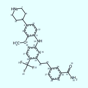 COc1cc(C2CCNCC2)ccc1Nc1ncc(C(F)(F)F)c(CCc2cccc(C(N)=O)c2)n1